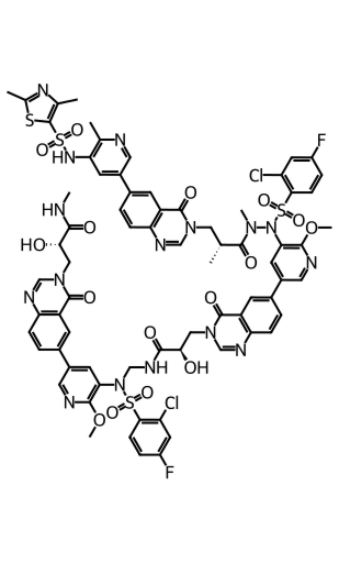 CNC(=O)[C@@H](O)Cn1cnc2ccc(-c3cnc(OC)c(N(CNC(=O)[C@H](O)Cn4cnc5ccc(-c6cnc(OC)c(N(N(C)C(=O)[C@H](C)Cn7cnc8ccc(-c9cnc(C)c(NS(=O)(=O)c%10sc(C)nc%10C)c9)cc8c7=O)S(=O)(=O)c7ccc(F)cc7Cl)c6)cc5c4=O)S(=O)(=O)c4ccc(F)cc4Cl)c3)cc2c1=O